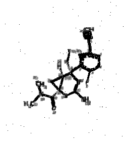 C#Cc1ccc(F)c([C@@]2(CF)N=C(N)S[C@@]3(C(=O)N(C)C)C[C@H]32)c1